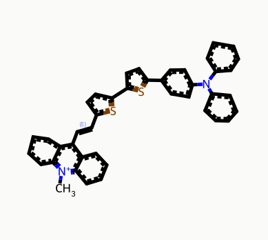 C[n+]1c2ccccc2c(/C=C/c2ccc(-c3ccc(-c4ccc(N(c5ccccc5)c5ccccc5)cc4)s3)s2)c2ccccc21